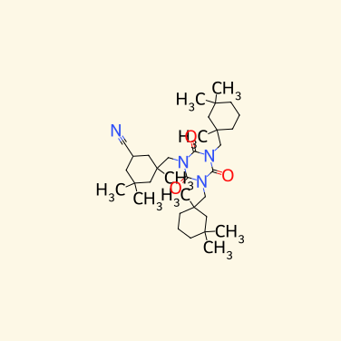 CC1(C)CCCC(C)(Cn2c(=O)n(CC3(C)CCCC(C)(C)C3)c(=O)n(CC3(C)CC(C#N)CC(C)(C)C3)c2=O)C1